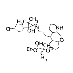 CCOC(O)C(C)(C)O[C@H]1CCC2OCC3NCCCC3C(CCCN3CC34C(C)(C)C4(O)C3CCC(Cl)CC3)C2C1